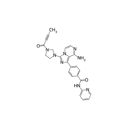 CC#CC(=O)N1CCN(c2nc(-c3ccc(C(=O)Nc4ccccn4)cc3)c3c(N)nccn23)C1